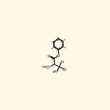 CCCC(CC)(CC)C(C(=O)O)C(=O)Oc1ccccc1